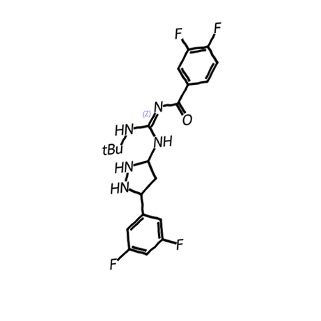 CC(C)(C)N/C(=N/C(=O)c1ccc(F)c(F)c1)NC1CC(c2cc(F)cc(F)c2)NN1